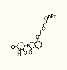 CCCOCCOCCOc1cccc2c1CN(C1CCC(=O)NC1=O)C2=O